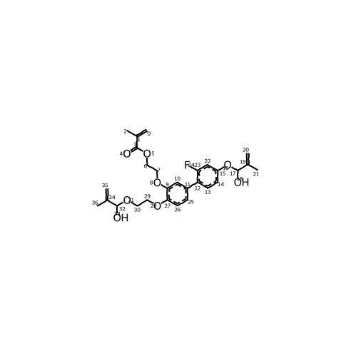 C=C(C)C(=O)OCCOc1cc(-c2ccc(OC(O)C(=C)C)cc2F)ccc1OCCOC(O)C(=C)C